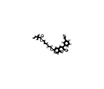 CCC(C)(C)C(=O)OCCSCCOc1cc2cc(-c3cccc(C#N)c3)c(=O)oc2cn1